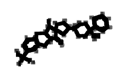 CC1C2Cc3ccc(C(F)(F)F)cc3CN2C(=O)C12CCC(N1CCC(O)(c3ccccc3)CC1)C2